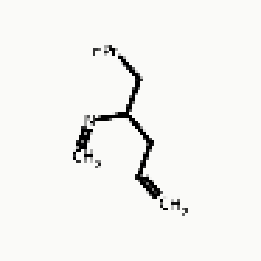 C=CCC(CCCC)N=C